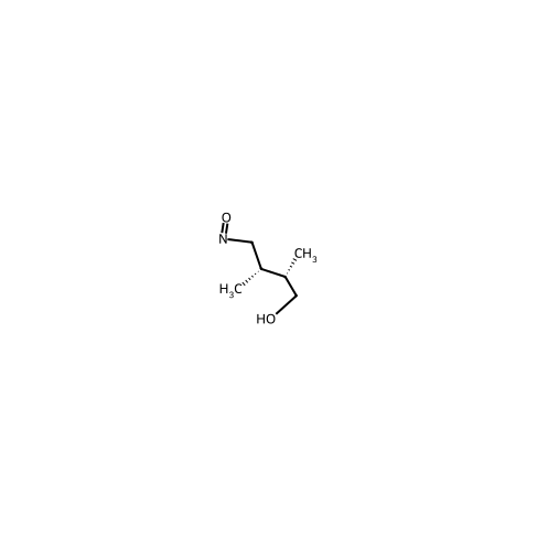 C[C@H](CO)[C@H](C)CN=O